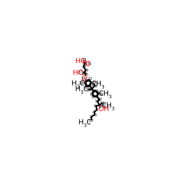 CCCCCCCC(O)(C=Cc1ccc(C(CC)(CC)c2ccc(OC[C@@H](O)CCC(=O)O)c(C)c2)cc1C)CC